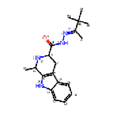 C/C(=N\NC(=O)C1Cc2c([nH]c3ccccc23)C(C)N1)C(C)(C)C